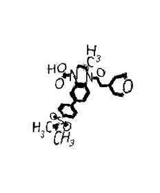 CC(C)S(=O)(=O)c1ccc(-c2ccc3c(c2)N(C(=O)O)C[C@H](C)N3C(=O)CC2CCOCC2)cc1